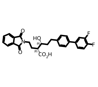 O=C(O)[C@H](CCN1C(=O)c2ccccc2C1=O)[C@H](O)CCc1ccc(-c2ccc(F)c(F)c2)cc1